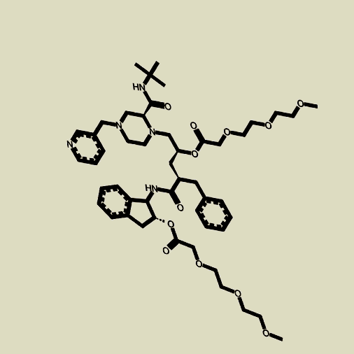 COCCOCCOCC(=O)O[C@@H](C[C@@H](Cc1ccccc1)C(=O)NC1c2ccccc2C[C@H]1OC(=O)COCCOCCOC)CN1CCN(Cc2cccnc2)C[C@H]1C(=O)NC(C)(C)C